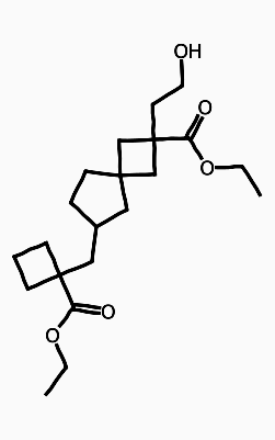 CCOC(=O)C1(CC2CCC3(C2)CC(CCO)(C(=O)OCC)C3)CCC1